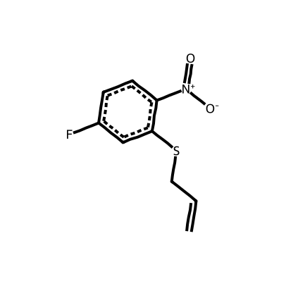 C=CCSc1cc(F)ccc1[N+](=O)[O-]